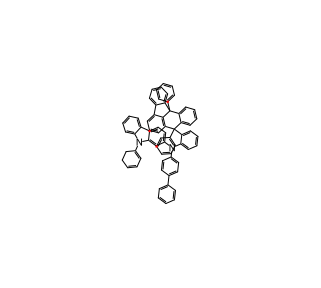 C1=CCCC(n2c3ccccc3c3ccc(N(c4ccc(-c5ccccc5)cc4)c4ccccc4C4(c5ccccc5)c5ccccc5C5(c6ccccc6)c6ccccc6-c6cccc4c65)cc32)=C1